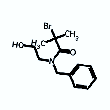 CC(C)(Br)C(=O)N(CCO)Cc1ccccc1